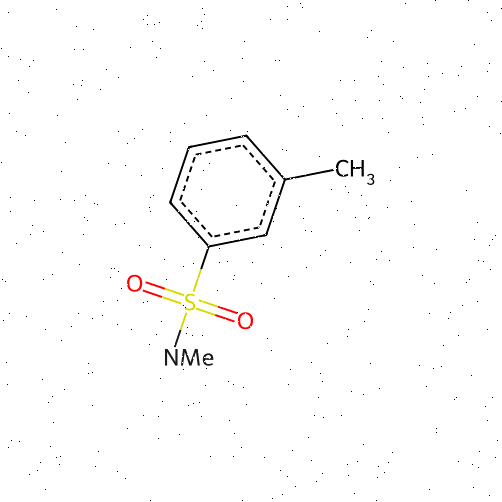 CNS(=O)(=O)c1cccc(C)c1